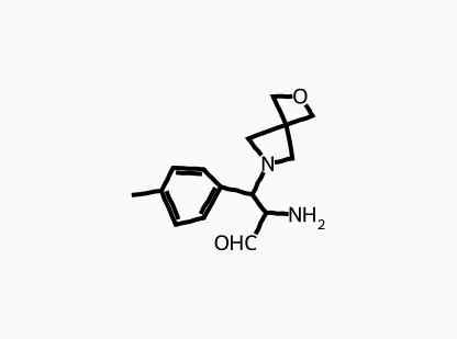 Cc1ccc(C(C(N)C=O)N2CC3(COC3)C2)cc1